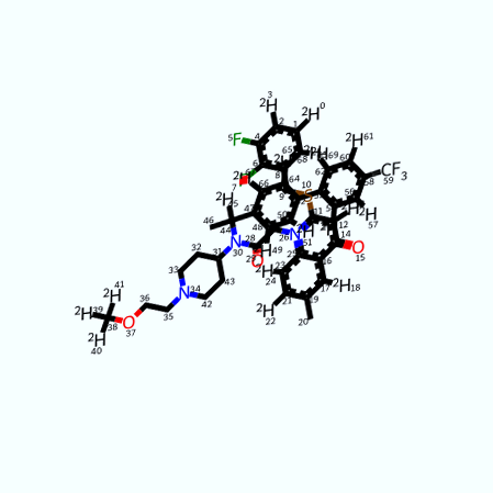 [2H]c1c([2H])c(F)c(F)c(CSc2c([2H])c(=O)c3c([2H])c(C)c([2H])c([2H])c3n2CC(=O)N(C2CCN(CCOC([2H])([2H])[2H])CC2)C([2H])(C)c2c([2H])c([2H])c(-c3c([2H])c([2H])c(C(F)(F)F)c([2H])c3[2H])c([2H])c2[2H])c1[2H]